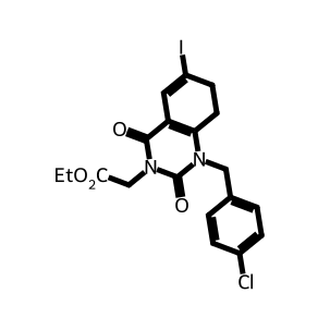 CCOC(=O)Cn1c(=O)c2c(n(Cc3ccc(Cl)cc3)c1=O)CCC(I)=C2